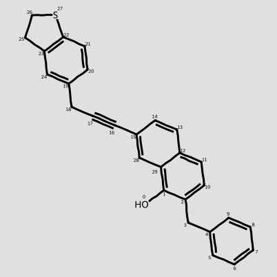 Oc1c(Cc2ccccc2)ccc2ccc(C#CCc3ccc4c(c3)CCS4)cc12